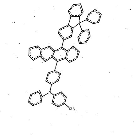 Cc1ccc(N(c2ccccc2)c2ccc(-c3c4ccccc4c(-c4ccc5c(c4)C(c4ccccc4)(c4ccccc4)c4ccccc4-5)c4cc5ccccc5cc34)cc2)cc1